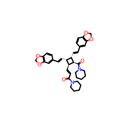 O=C(/C=C/[C@H]1[C@H](/C=C/c2ccc3c(c2)OCO3)[C@H](/C=C/c2ccc3c(c2)OCO3)[C@H]1C(=O)N1CCCCC1)N1CCCCC1